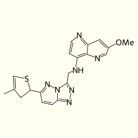 COc1cnc2c(NCc3nnc4ccc(C5CC(C)=CS5)nn34)ccnc2c1